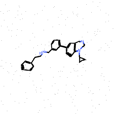 C1=NCN(C2CC2)c2ccc(-c3cccc(CNCCc4ccccc4)c3)cc21